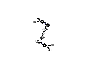 C\C=C/C(/C=C/c1ccc(N(CCO)CCO)cc1)=N/CC(=O)NCCSSCCNC(=O)C[n+]1ccccc1/C=C/c1ccc(N(CCO)CCO)cc1